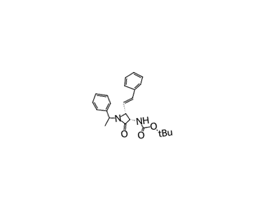 CC(c1ccccc1)N1C(=O)[C@@H](NC(=O)OC(C)(C)C)[C@H]1/C=C/c1ccccc1